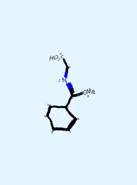 COC(=NCC(=O)O)C1CCCCC1